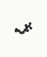 c1ccc(-c2cc(-c3ccccc3)cc(-n3c4ccccc4c4cc5c6ccc(-c7ccc8sc9ccc(-c%10ccc%11c(c%10)-c%10cccc%12cccc-%11c%10%12)cc9c8c7)cc6c6ccccc6c5cc43)c2)cc1